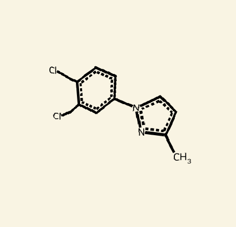 Cc1ccn(-c2ccc(Cl)c(Cl)c2)n1